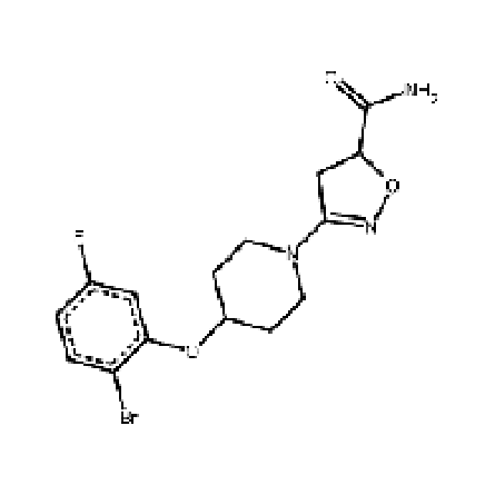 NC(=O)C1CC(N2CCC(Oc3cc(F)ccc3Br)CC2)=NO1